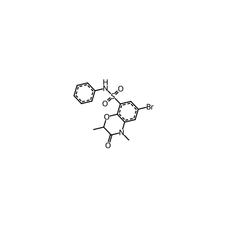 CC1Oc2c(cc(Br)cc2S(=O)(=O)Nc2ccccc2)N(C)C1=O